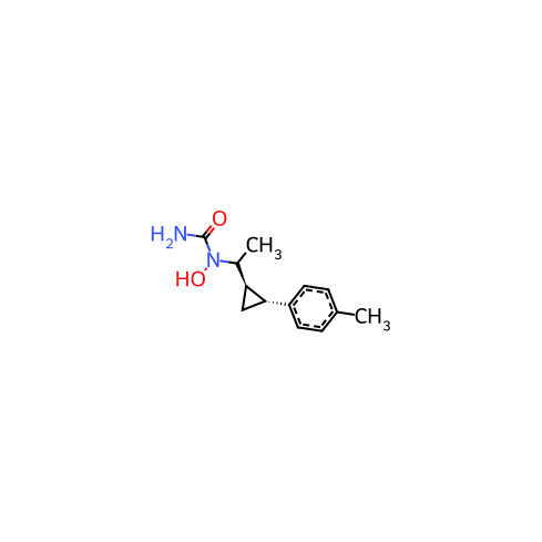 Cc1ccc([C@@H]2C[C@H]2C(C)N(O)C(N)=O)cc1